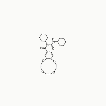 O=C(NC1CCCCC1)N(C(=O)c1ccc2c(c1)OCCOCCOCCO2)C1CCCCC1